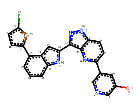 Oc1cncc(-c2ccc3[nH]nc(-c4cc5c(-c6ccc(F)s6)cccc5[nH]4)c3n2)c1